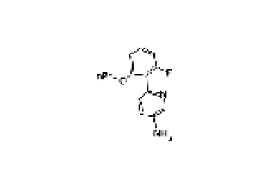 CCCOc1cccc(F)c1-c1ccc(N)cn1